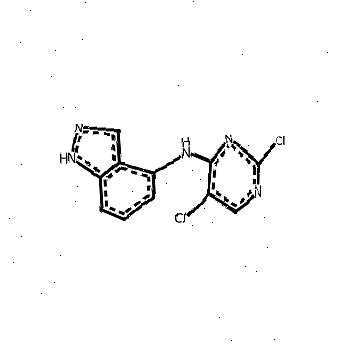 Clc1ncc(Cl)c(Nc2cccc3[nH]ncc23)n1